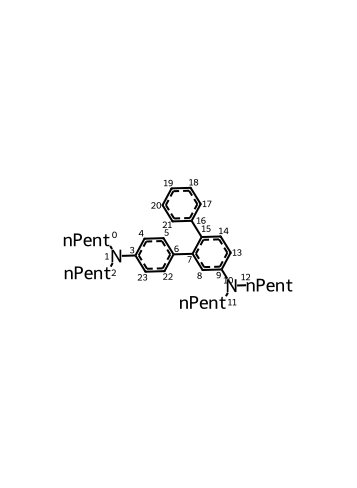 CCCCCN(CCCCC)c1ccc(-c2cc(N(CCCCC)CCCCC)ccc2-c2ccccc2)cc1